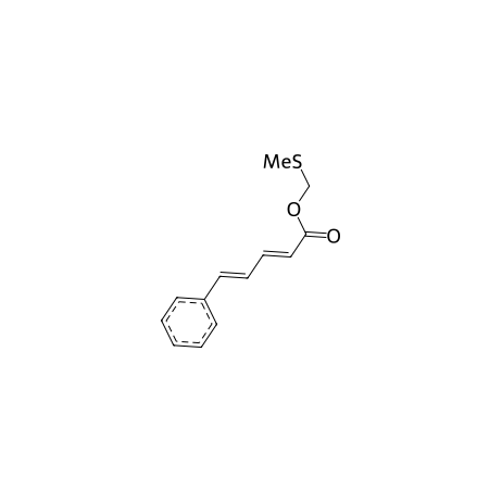 CSCOC(=O)C=CC=Cc1ccccc1